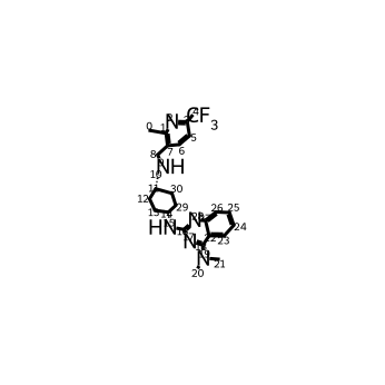 Cc1nc(C(F)(F)F)ccc1CNC[C@H]1CC[C@@H](Nc2nc(N(C)C)c3ccccc3n2)CC1